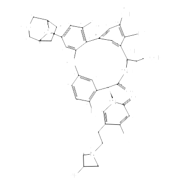 CCOC(=O)C[C@@]1(S)NC(=O)[C@@H](n2cc(CCN3CC(F)C3)c(C(F)(F)F)cc2=O)c2cc(ccc2F)Oc2cc(N3C4CCC3COC4)cc(C)c2-c2cc(C)c(F)c1c2